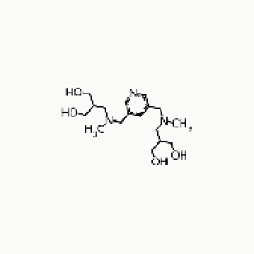 CN(Cc1cncc(CN(C)CC(CO)CO)c1)CC(CO)CO